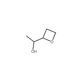 CC(O)[C]1CCO1